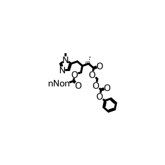 CCCCCCCCCC(=O)OCC(Cc1cncn1C)[C@H](C)C(=O)OCOC(=O)Oc1ccccc1